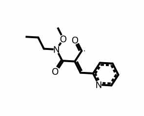 CCCN(OC)C(=O)/C([C]=O)=C/c1ccccn1